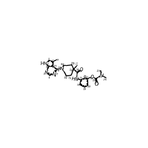 Cc1c[nH]c2ncnc(N3CCC(C)(C(=O)Nc4cccc(OC(=O)N(C)C)c4)CC3)c12